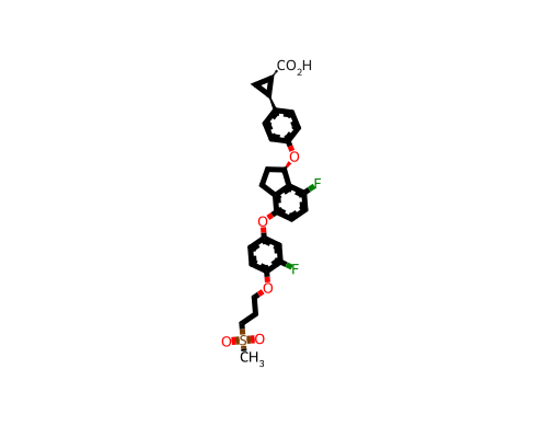 CS(=O)(=O)CCCOc1ccc(Oc2ccc(F)c3c2CC[C@H]3Oc2ccc([C@H]3C[C@@H]3C(=O)O)cc2)cc1F